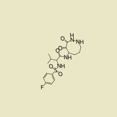 CC(C)C(NS(=O)(=O)c1ccc(F)cc1)C(=O)NC1CCCNNC(=O)C1=O